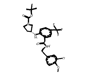 COc1ccc(CNC(=O)c2cc(C(F)(F)F)ccc2N[C@@H]2CCN(C(=O)OC(C)(C)C)C2)cc1Cl